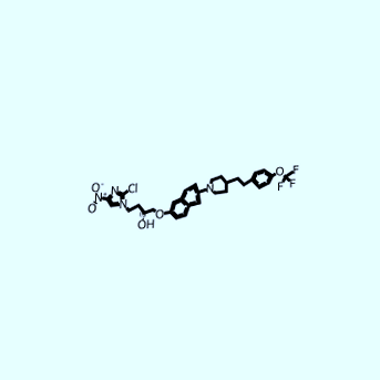 O=[N+]([O-])c1cn(CC[C@@H](O)COc2ccc3cc(N4CCC(CCc5ccc(OC(F)(F)F)cc5)CC4)ccc3c2)c(Cl)n1